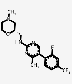 Cc1nc(NC[C@H]2CN(C)CCO2)ncc1-c1ccc(C(F)(F)F)cc1F